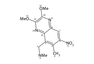 CNCc1c(C)c([N+](=O)[O-])cc2nc(OC)c(OC)nc12